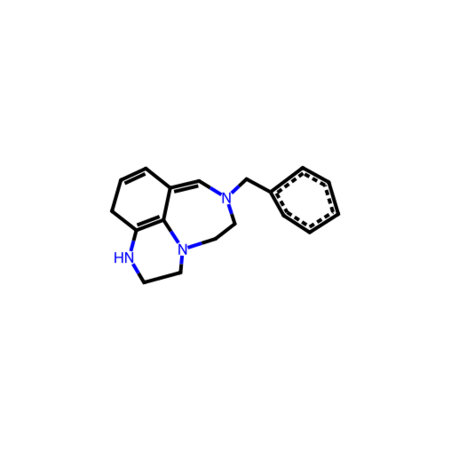 C1=CC2=CN(Cc3ccccc3)CCN3CCNC(=C23)C1